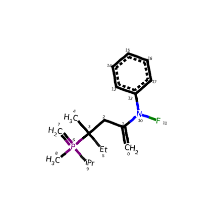 C=C(CC(C)(CC)P(=C)(C)C(C)C)N(F)c1ccccc1